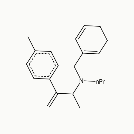 C=C(c1ccc(C)cc1)C(C)N(CCC)CC1=CCCC=C1